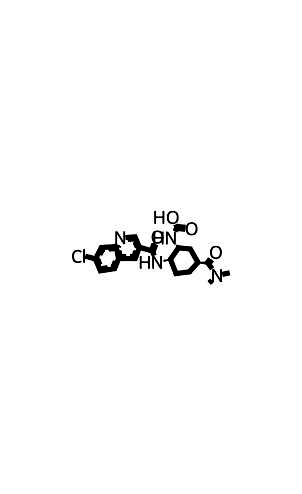 CN(C)C(=O)[C@H]1CC[C@H](NC(=O)c2cnc3cc(Cl)ccc3c2)[C@H](NC(=O)O)C1